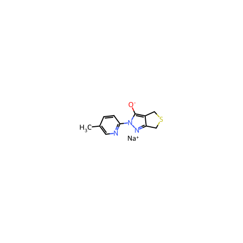 Cc1ccc(-n2nc3c(c2[O-])CSC3)nc1.[Na+]